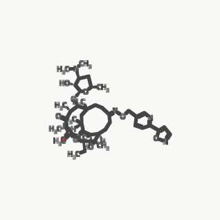 CC[C@H]1OC(=O)[C@H](C)C(=O)[C@H](C)[C@@H](O[C@@H]2O[C@H](C)C[C@H](N(C)C)[C@H]2O)[C@]2(C)CC/C(=N/OCc3ccc(-c4ccno4)nc3)CC[C@H]([C@@H](C)/C(=N/C(C)=O)[C@H](C)C2)[C@]1(C)O